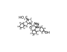 O=C(O)N1CCN(C(=O)c2nnn(-c3ccc(O)cc3)c2-c2ccccc2)C(Cc2ccccc2)C1